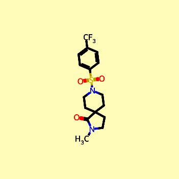 CN1CCC2(CCN(S(=O)(=O)c3ccc(C(F)(F)F)cc3)CC2)C1=O